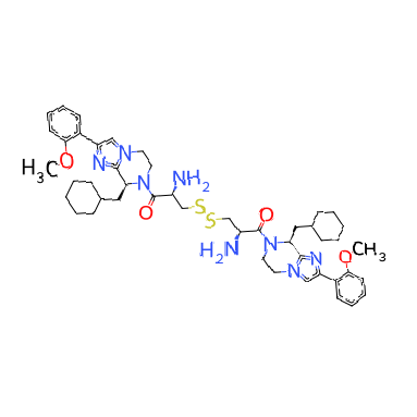 COc1ccccc1-c1cn2c(n1)[C@H](CC1CCCCC1)N(C(=O)[C@@H](N)CSSC[C@H](N)C(=O)N1CCn3cc(-c4ccccc4OC)nc3[C@@H]1CC1CCCCC1)CC2